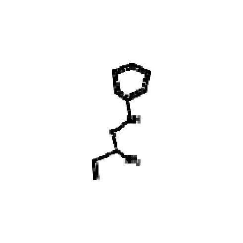 C=CC(N)SNc1ccccc1